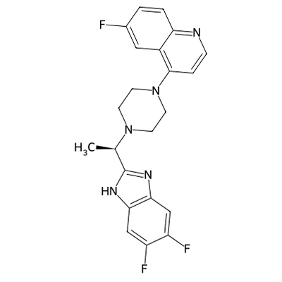 C[C@H](c1nc2cc(F)c(F)cc2[nH]1)N1CCN(c2ccnc3ccc(F)cc23)CC1